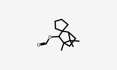 CC1(C)C2CCC1(C)C(OC=O)C21CCCC1